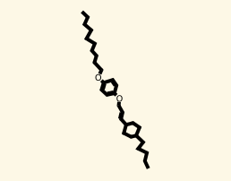 CCCCCCCCCCOc1ccc(OC/C=C/C2CCC(CCCCC)CC2)cc1